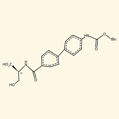 CC(C)(C)OC(=O)Nc1ccc(-c2ccc(C(=O)N[C@@H](CO)C(=O)O)cc2)cc1